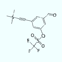 CS(C)(C)C#Cc1cc(C=O)cc(OS(=O)(=O)C(F)(F)F)c1